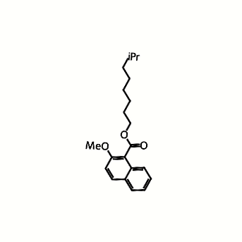 COc1ccc2ccccc2c1C(=O)OCCCCCCC(C)C